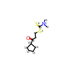 CN(C)C(=S)SCCC(=O)C1CCCC1